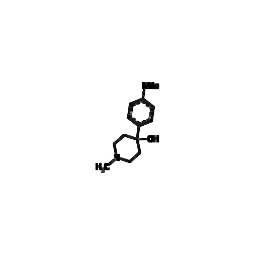 CNc1ccc(C2(O)CCN(C)CC2)cc1